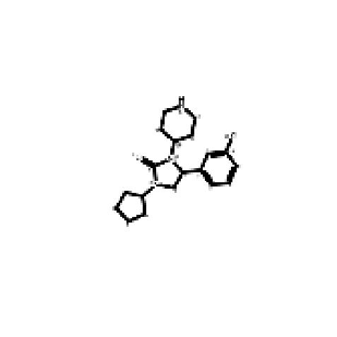 O=C1N(C2CCCC2)CC(c2cccc(Cl)c2)N1C1CCNCC1